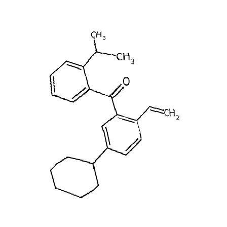 C=Cc1ccc(C2CCCCC2)cc1C(=O)c1ccccc1C(C)C